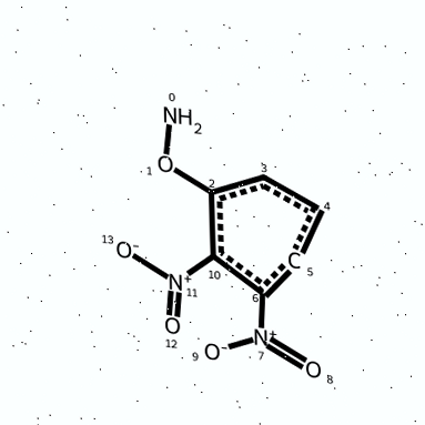 NOc1cccc([N+](=O)[O-])c1[N+](=O)[O-]